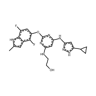 Cc1cc2c(F)c(Oc3nc(NCCO)cc(Nc4cc(C5CC5)[nH]n4)n3)cc(F)c2[nH]1